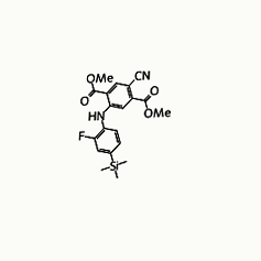 COC(=O)c1cc(Nc2ccc([Si](C)(C)C)cc2F)c(C(=O)OC)cc1C#N